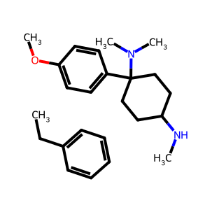 CCc1ccccc1.CNC1CCC(c2ccc(OC)cc2)(N(C)C)CC1